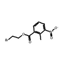 Cc1c(C(=O)OCCBr)cccc1[N+](=O)[O-]